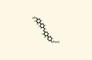 CCCCCC1CCC(C2CCC(CCC3CCC(C4CCC(CCC)[C@H](F)C4F)CC3)C(F)C2F)CC1